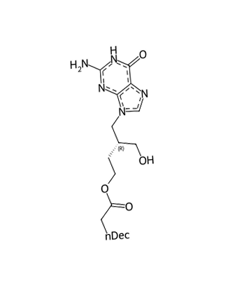 CCCCCCCCCCCC(=O)OCC[C@@H](CO)Cn1cnc2c(=O)[nH]c(N)nc21